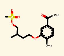 COC(=O)c1ccc(OC)c(OCCC(C)COS(C)(=O)=O)c1